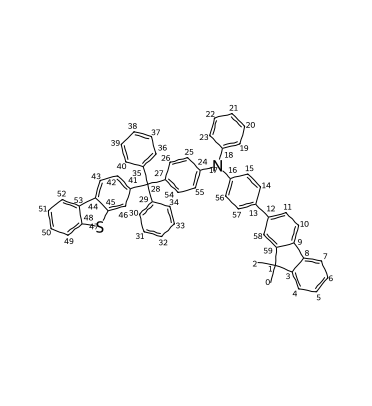 CC1(C)c2ccccc2-c2ccc(-c3ccc(N(c4ccccc4)c4ccc(C(c5ccccc5)(c5ccccc5)c5ccc6c(c5)sc5ccccc56)cc4)cc3)cc21